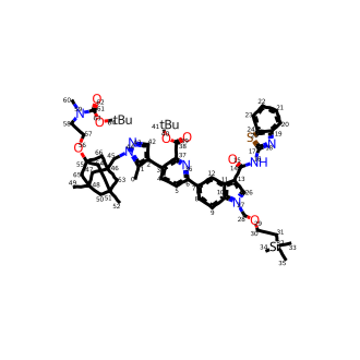 Cc1c(-c2ccc(-c3ccc4c(c3)c(C(=O)Nc3nc5ccccc5s3)cn4COCC[Si](C)(C)C)nc2C(=O)OC(C)(C)C)cnn1CC12CC3(C)CC(C)(C1)CC(OCCN(C)C(=O)OC(C)(C)C)(C3)C2